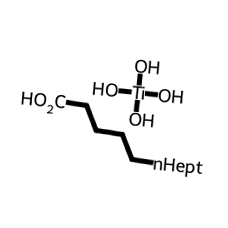 CCCCCCCCCCCC(=O)O.[OH][Ti]([OH])([OH])[OH]